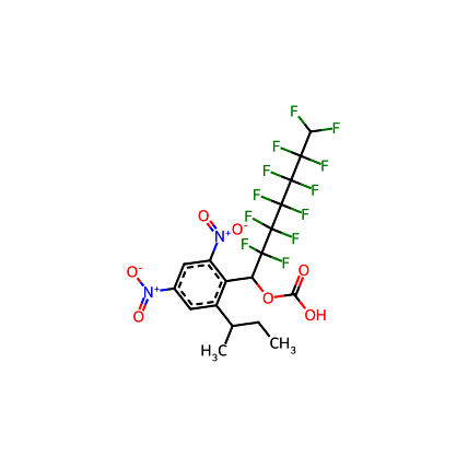 CCC(C)c1cc([N+](=O)[O-])cc([N+](=O)[O-])c1C(OC(=O)O)C(F)(F)C(F)(F)C(F)(F)C(F)(F)C(F)(F)C(F)F